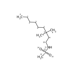 CCCCCCC(C)(C)CCNS(C)(=O)=O